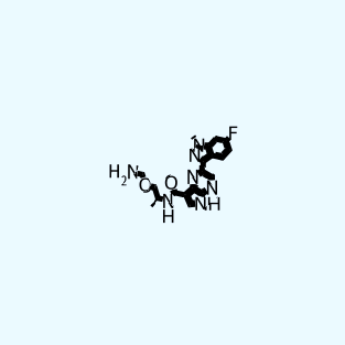 C[C@@H](COCN)NC(=O)c1c[nH]c2ncc(-c3nn(C)c4cc(F)ccc34)nc12